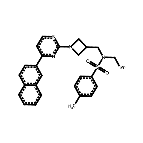 C[C](C)CN(CC1CN(c2nccc(-c3ccc4ccccc4c3)n2)C1)S(=O)(=O)c1ccc(C)cc1